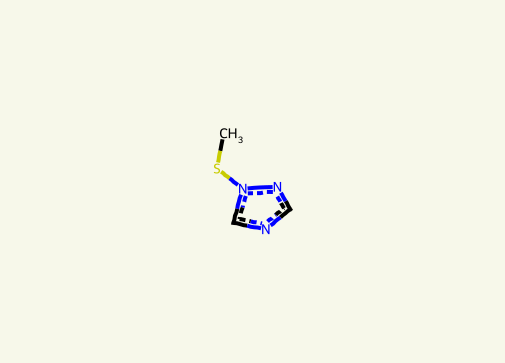 CSn1cncn1